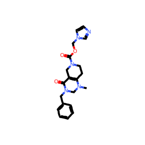 CN1CN(Cc2ccccc2)C(=O)C2=C1CCN(C(=O)OCn1ccnc1)C2